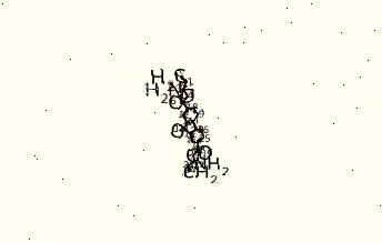 C=CC(N)OC(=O)c1ccc2c(c1)C(=O)c1cc(C(=O)OC(N)C=C)ccc1-2